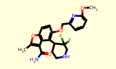 COc1cccc(COc2ccc3oc(C)c(C(N)=O)c3c2C2CCNCC2(F)F)n1